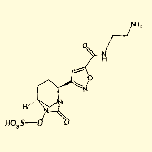 NCCNC(=O)c1cc([C@@H]2CC[C@H]3CN2C(=O)N3OS(=O)(=O)O)no1